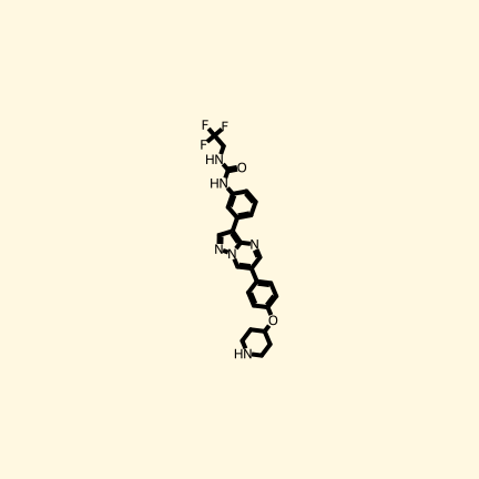 O=C(NCC(F)(F)F)Nc1cccc(-c2cnn3cc(-c4ccc(OC5CCNCC5)cc4)cnc23)c1